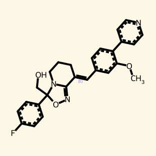 COc1cc(/C=C2\CCCN3C2=NOC3(CO)c2ccc(F)cc2)ccc1-c1ccncc1